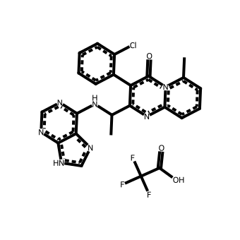 Cc1cccc2nc(C(C)Nc3ncnc4[nH]cnc34)c(-c3ccccc3Cl)c(=O)n12.O=C(O)C(F)(F)F